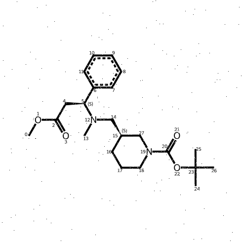 COC(=O)C[C@@H](c1ccccc1)N(C)C[C@@H]1CCCN(C(=O)OC(C)(C)C)C1